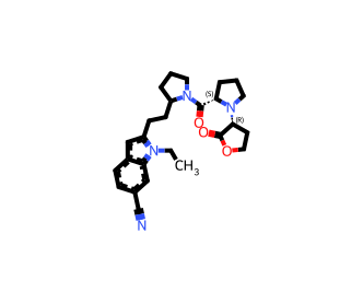 CCn1c(CCC2CCCN2C(=O)[C@@H]2CCCN2[C@@H]2CCOC2=O)cc2ccc(C#N)cc21